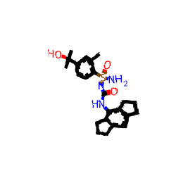 Cc1cc(C(C)(C)O)ccc1S(N)(=O)=NC(=O)Nc1c2c(cc3c1CCC3)CCC2